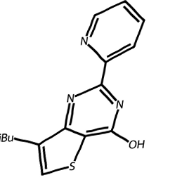 CCC(C)c1csc2c(O)nc(-c3ccccn3)nc12